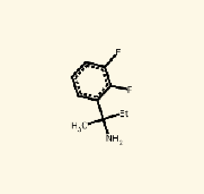 CCC(C)(N)c1cccc(F)c1F